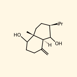 C=C1CCC(O)[C@]2(C)CC[C@@H](C(C)C)C(O)[C@@H]12